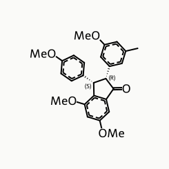 COc1ccc([C@H]2c3c(OC)cc(OC)cc3C(=O)[C@H]2c2cc(C)cc(OC)c2)cc1